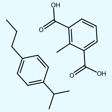 CCCc1ccc(C(C)C)cc1.Cc1c(C(=O)O)cccc1C(=O)O